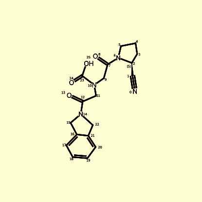 N#C[C@@H]1CCCN1C(=O)CN(CC(=O)N1Cc2ccccc2C1)C(=O)O